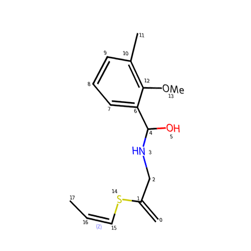 C=C(CNC(O)c1cccc(C)c1OC)S/C=C\C